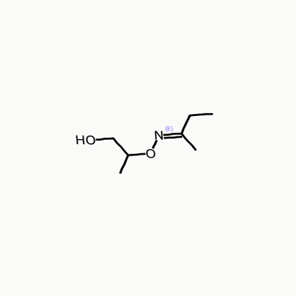 CC/C(C)=N/OC(C)CO